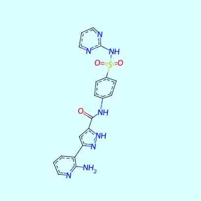 Nc1ncccc1-c1cc(C(=O)Nc2ccc(S(=O)(=O)Nc3ncccn3)cc2)[nH]n1